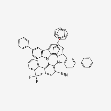 N#Cc1ccc(-c2ccccc2C(F)(F)F)c(-n2c3ccc(-c4ccccc4)cc3c3cc(-c4ccccc4)ccc32)c1-n1c2ccc(-c3ccccc3)cc2c2cc(-c3ccccc3)ccc21